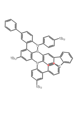 CC(C)(C)c1ccc(N2B3c4cc5c(cc4N(c4ccc(C(C)(C)C)cc4-c4ccccc4)c4cc(C(C)(C)C)cc(c43)-c3cc(-c4ccccc4)ccc32)sc2ccccc25)cc1